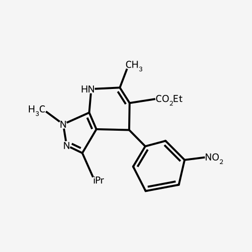 CCOC(=O)C1=C(C)Nc2c(c(C(C)C)nn2C)C1c1cccc([N+](=O)[O-])c1